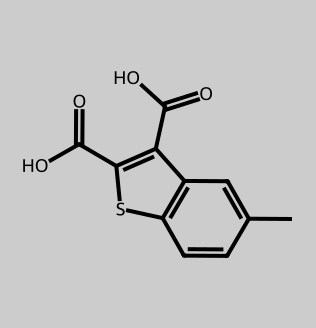 Cc1ccc2sc(C(=O)O)c(C(=O)O)c2c1